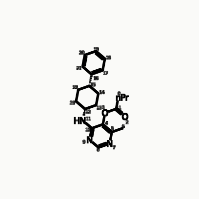 CCCC(=O)Oc1c(C)ncnc1N[C@H]1CC[C@@H](c2ccccc2)CC1